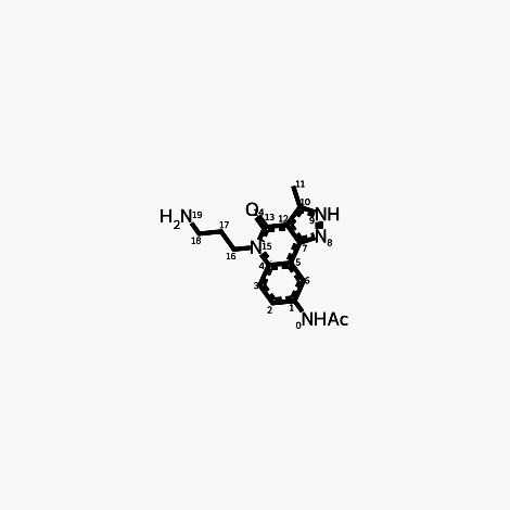 CC(=O)Nc1ccc2c(c1)c1n[nH]c(C)c1c(=O)n2CCCN